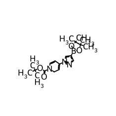 CC(C)(C)OC(=O)N1C=CC(n2cc(B3OC(C)(C)C(C)(C)O3)cn2)=CC1